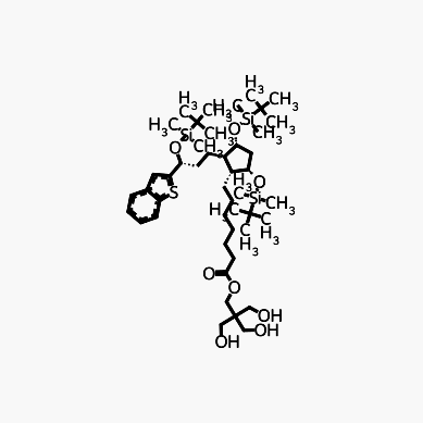 CC(C)(C)[Si](C)(C)O[C@H]1C[C@@H](O[Si](C)(C)C(C)(C)C)[C@H](CC[C@@H](O[Si](C)(C)C(C)(C)C)c2cc3ccccc3s2)[C@H]1CCCCCCC(=O)OCC(CO)(CO)CO